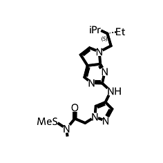 CC[C@H](Cn1ccc2cnc(Nc3cnn(CC(=O)N(C)SC)c3)nc21)C(C)C